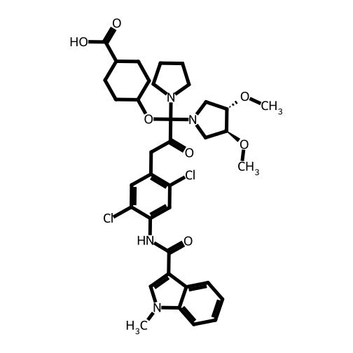 CO[C@H]1CN(C(OC2CCC(C(=O)O)CC2)(C(=O)Cc2cc(Cl)c(NC(=O)c3cn(C)c4ccccc34)cc2Cl)N2CCCC2)C[C@@H]1OC